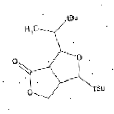 CC(C1OC(C(C)(C)C)C2COC(=O)C21)C(C)(C)C